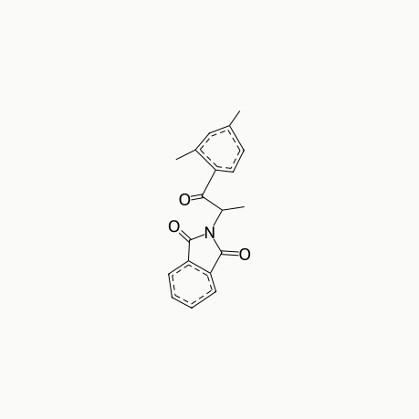 Cc1ccc(C(=O)C(C)N2C(=O)c3ccccc3C2=O)c(C)c1